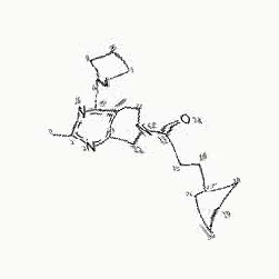 Cc1nc2c(c(N3CCC3)n1)CN(C(=O)CCC1CCCC1)C2